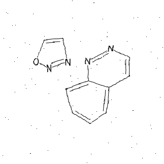 c1ccc2nnccc2c1.c1conn1